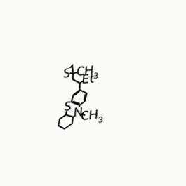 CCC(CC1(C)CS1)c1ccc2c(c1)SC1CCCCC1N2C